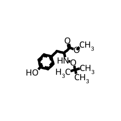 COC(=O)C(Cc1ccc(O)cc1)NOC(C)(C)C